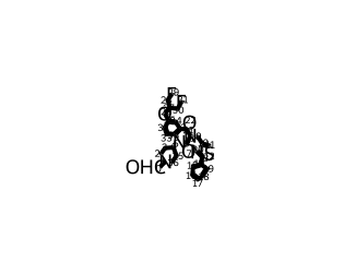 O=CN1CCC(n2c(=O)n(Cc3csc(-c4ccccc4)n3)c(=O)c3cc(OC(CF)CF)ccc32)CC1